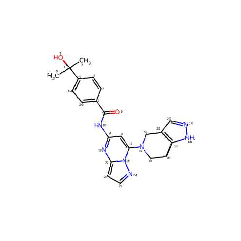 CC(C)(O)c1ccc(C(=O)Nc2cc(N3CCc4[nH]ncc4C3)n3nccc3n2)cc1